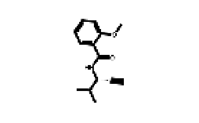 C#C[C@@H](NC(=O)c1ccccc1OC)C(C)C